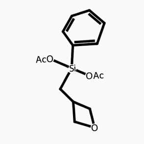 CC(=O)O[Si](CC1COC1)(OC(C)=O)c1ccccc1